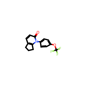 O=c1ccc2c(n1-c1ccc(OC(F)(F)F)cc1)CCC2